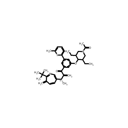 C=C1C=CC([C@@H](C)C(=C)C(=O)c2cc(OC3C(CC)CN(C(C)=O)CC3CC)cc(C3=C=CC=C(C)S3)c2)=CN=C1C(C)(C)C